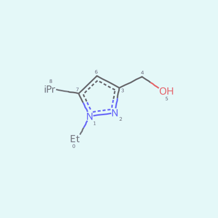 CCn1nc(CO)cc1C(C)C